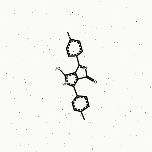 Cc1ccc(C2=NC(=O)c3c(-c4ccc(C)cc4)[nH]c(O)c32)cc1